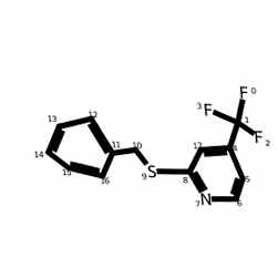 FC(F)(F)c1ccnc(SCc2ccccc2)c1